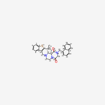 CCc1sc2ccccc2c1CN1CCN2C(=O)CN(Cc3cccc4ccccc34)C(=O)C2C1